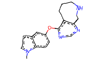 Cn1ccc2cc(Oc3ncnc4c3CCCNC4)ccc21